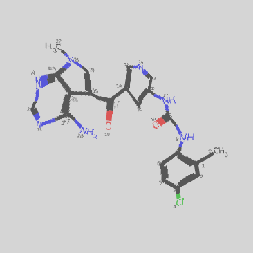 Cc1cc(Cl)ccc1NC(=O)Nc1cncc(C(=O)c2cn(C)c3ncnc(N)c23)c1